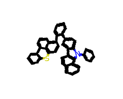 c1ccc(-n2c3ccc(-c4ccccc4-c4ccc5c6c(cccc46)-c4ccccc4S5)cc3c3ccc4ccccc4c32)cc1